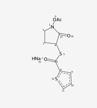 CC(=O)ON1CCC(SC(=O)c2cccs2)C1=O.[NaH]